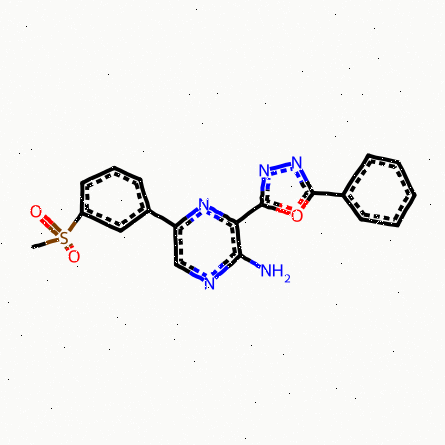 CS(=O)(=O)c1cccc(-c2cnc(N)c(-c3nnc(-c4ccccc4)o3)n2)c1